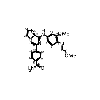 COCCOc1ccc(Nc2nc(-c3ccc(C(N)=O)cc3)cn3ccnc23)cc1OC